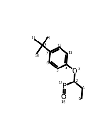 CCC(Oc1ccc(C(C)(C)C)cc1)P=O